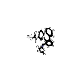 CC(C)(C)OC(=O)N[C@@H]1CCCN(c2c(/C=C3\SC(=O)NC3=O)cccc2C2CCCCC2)C1